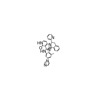 Cc1cc(-n2ccnc2)cc2[nH]c(-c3c(NC(Cc4ccccc4I)c4ccccn4)cc[nH]c3=O)nc12